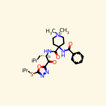 CC(C)C[C@H](NC(=O)C1(NC(=O)c2ccccc2)CC[N+](C)(C)CC1)C(=O)c1nnc(SC(C)C)o1